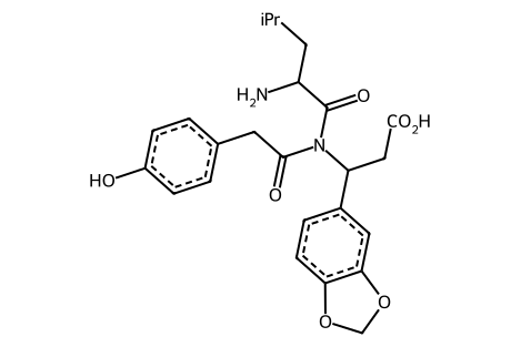 CC(C)CC(N)C(=O)N(C(=O)Cc1ccc(O)cc1)C(CC(=O)O)c1ccc2c(c1)OCO2